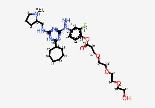 CCN1CCCC1CNc1nc(C2CCCCCC2)nc(N(N)c2ccc(OC(=O)CCOCCOCCOCCO)c(F)c2)n1